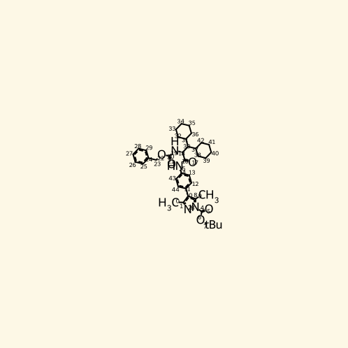 Cc1nn(C(=O)OC(C)(C)C)c(C)c1-c1ccc(NC(=O)[C@@H](NC(=O)OCc2ccccc2)C(C2CCCCC2)C2CCCCC2)cc1